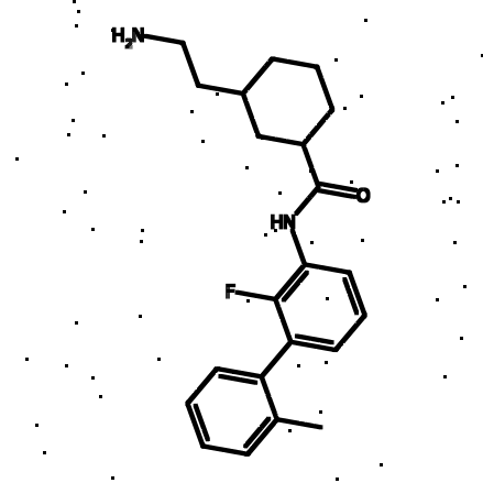 Cc1ccccc1-c1cccc(NC(=O)C2CCCC(CCN)C2)c1F